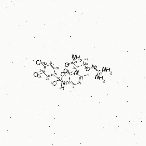 Cc1ccc(NS(=O)(=O)c2ccc(Cl)c(Cl)c2)c(=O)n1C(C(N)=O)C(C)ON=C(N)N